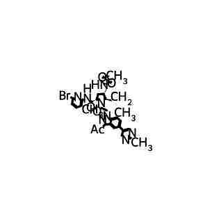 C=C[C@@H]1[C@@H](CNS(C)(=O)=O)C[C@@H](C(=O)Nc2nc(Br)ccc2C)N1C(=O)Cn1nc(C(C)=O)c2cc(-c3cnc(C)nc3)cc(C)c21